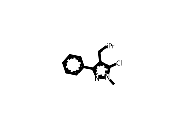 CC(C)Cc1c(-c2ccccc2)nn(C)c1Cl